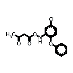 CC(=O)CC(=O)ONc1cc(Cl)ccc1Oc1ccccc1